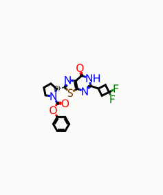 O=C(Oc1ccccc1)N1CCC[C@@H]1c1nc2c(=O)[nH]c(C3CC(F)(F)C3)nc2s1